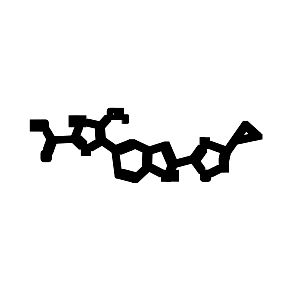 Cc1[nH]c(C(=O)O)nc1-c1ccc2[nH]c(-c3nc(C4CC4)no3)cc2c1